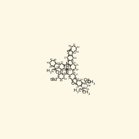 CC(C)(C)c1ccc(Nc2cc3oc4cc5c(cc4c3cc2-c2ccc3c4cc6c(cc4n4c3c2Bc2cc3c(cc2-4)-c2ccccc2C3(C)C)sc2ccccc26)C(C)(C)CCC5(C)C)cc1